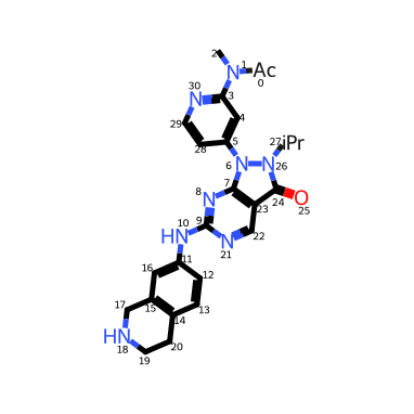 CC(=O)N(C)c1cc(-n2c3nc(Nc4ccc5c(c4)CNCC5)ncc3c(=O)n2C(C)C)ccn1